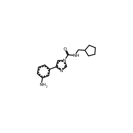 Nc1cccc(-c2cn(C(=O)NCC3CCCC3)cn2)c1